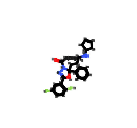 CN(O)C(=O)N1N=C(c2cc(F)ccc2F)OC1(CCCNC1CC=CC1)c1ccccc1